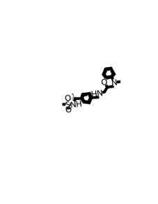 C[C@@H](NS(C)(=O)=O)c1ccc(CNCC2CN(C)c3ccccc3O2)cc1